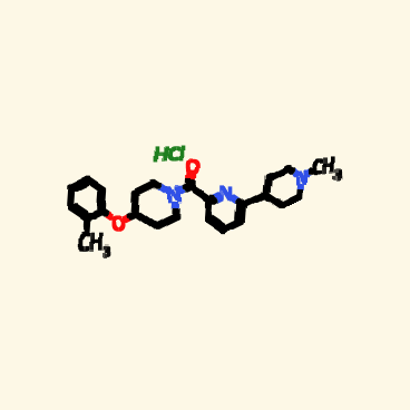 Cc1ccccc1OC1CCN(C(=O)c2cccc(C3CCN(C)CC3)n2)CC1.Cl